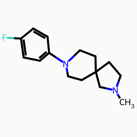 CN1CCC2(CCN(c3ccc(F)cc3)CC2)C1